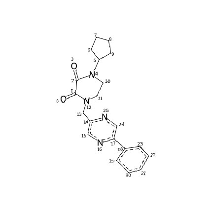 O=C1C(=O)N(C2CCCC2)CCN1Cc1cnc(-c2ccccc2)cn1